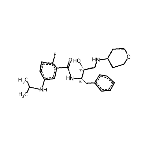 CC(C)Nc1ccc(F)c(C(=O)N[C@@H](Cc2ccccc2)[C@H](O)CNC2CCOCC2)c1